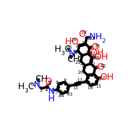 CN(C)CC(=O)Nc1ccc(C#Cc2ccc(O)c3c2CC2CC4C(N(C)C)C(O)=C(C(N)=O)C(=O)C4(O)C(O)=C2C3=O)cc1